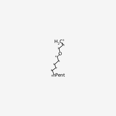 C=CCOCCCCCCCCCC